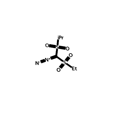 CCS(=O)(=O)C(=[N+]=[N-])S(=O)(=O)C(C)C